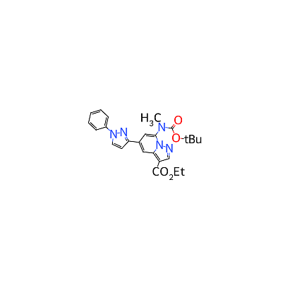 CCOC(=O)c1cnn2c(N(C)C(=O)OC(C)(C)C)cc(-c3ccn(-c4ccccc4)n3)cc12